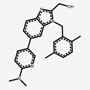 Cc1ccc(C)c(Cn2c(CO)nc3ccc(-c4ccc(N(C)C)nc4)cc32)c1